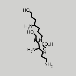 NCCCC(N)CCCO.NCCCC(N)CCCO.O=C(O)O